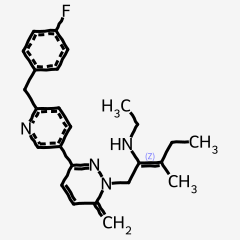 C=C1C=CC(c2ccc(Cc3ccc(F)cc3)nc2)=NN1C/C(NCC)=C(\C)CC